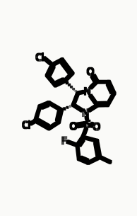 Cc1ccc(F)c(S(=O)(=O)N2c3cccc(=O)n3[C@@H](c3ccc(Cl)cc3)[C@H]2c2ccc(Cl)cc2)c1